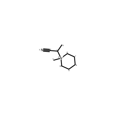 CC(C#N)[N+]1(C)CCCCC1